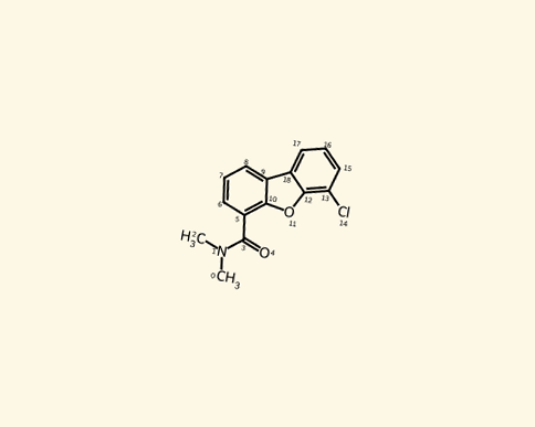 CN(C)C(=O)c1cccc2c1oc1c(Cl)cccc12